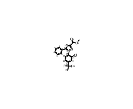 COC(=O)c1nc(-c2ccccc2)n(-c2ccc(C(F)(F)F)cc2Cl)n1